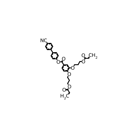 C=CC(=O)OCCCOc1ccc(C(=O)Oc2ccc(-c3ccc(C#N)cc3)cc2)cc1OCCCOC(=O)C=C